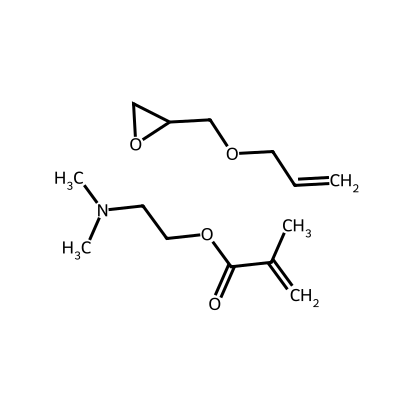 C=C(C)C(=O)OCCN(C)C.C=CCOCC1CO1